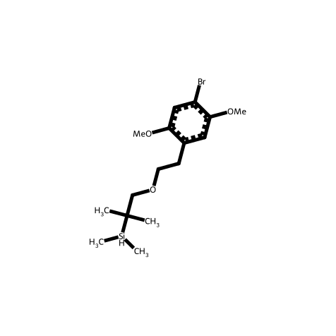 COc1cc(CCOCC(C)(C)[SiH](C)C)c(OC)cc1Br